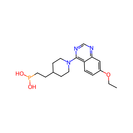 CCOc1ccc2c(N3CCC(CCP(O)O)CC3)ncnc2c1